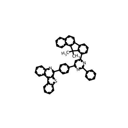 CC1(C)c2c(-c3cc(-c4ccc(-c5nc6ccccc6c6c5sc5ccccc56)cc4)nc(-c4ccccc4)n3)cccc2-c2ccc3ccccc3c21